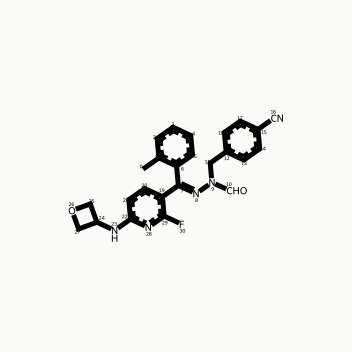 Cc1ccccc1/C(=N\N(C=O)Cc1ccc(C#N)cc1)c1ccc(NC2COC2)nc1F